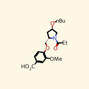 CCCCO[C@@H]1C[C@@H](COc2ccc(C(=O)O)cc2OC)N(C(=O)CC)C1